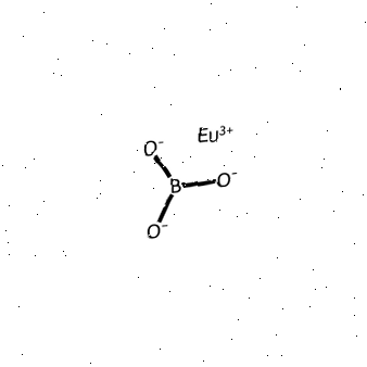 [Eu+3].[O-]B([O-])[O-]